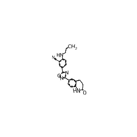 C=CCNc1ccc(-c2nc(-c3ccc4c(c3)CCC(=O)N4)no2)cc1C#N